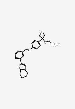 CCOC(=O)COC1(c2ccc(OCc3cccc(-c4nc5c(s4)CCCC5)c3)cc2)COC1